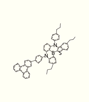 CCCc1ccc(N2c3cccc4c3B(c3ccc(CCC)cc3N4c3ccc(-c4ccc5c6ccccc6c6ccccc6c5c4)cc3)c3sc4ccc(CCC)cc4c32)cc1